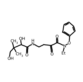 CCN(Oc1ccccc1)C(=O)C(=O)CCNC(=O)C(O)C(C)(C)CO